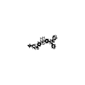 CC1CN(C2CCC2)CCN1C(=O)c1ccc(NC(=O)Nc2ccc(-c3nc(C4CCOCC4)nc(N4CCOCC4)n3)cc2)cc1